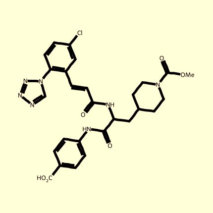 COC(=O)N1CCC(CC(NC(=O)C=Cc2cc(Cl)ccc2-n2cnnn2)C(=O)Nc2ccc(C(=O)O)cc2)CC1